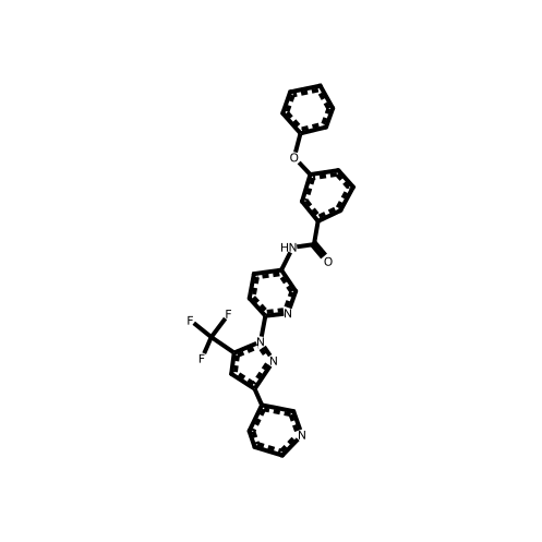 O=C(Nc1ccc(-n2nc(-c3cccnc3)cc2C(F)(F)F)nc1)c1cccc(Oc2ccccc2)c1